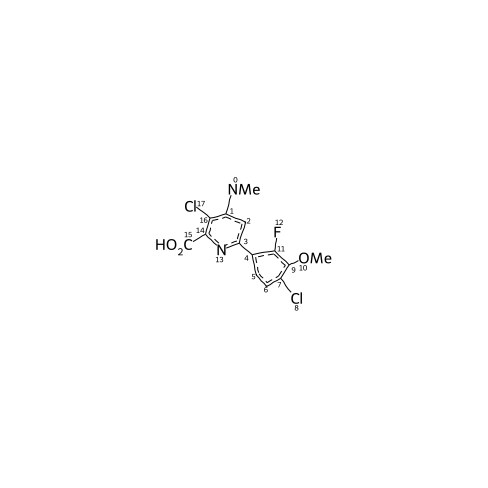 CNc1cc(-c2ccc(Cl)c(OC)c2F)nc(C(=O)O)c1Cl